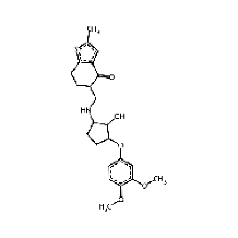 COc1ccc(OC2CCC(NCC3CCc4sc(C)cc4C3=O)C2O)cc1OC